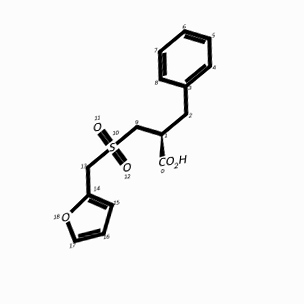 O=C(O)[C@H](Cc1ccccc1)CS(=O)(=O)Cc1ccco1